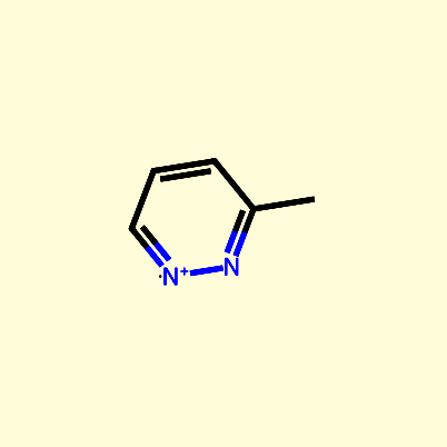 CC1=N[N+]=CC=C1